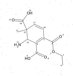 CCOC(=O)C1=C(C(=O)O)C(N)C(C)(C(=O)O)C=C1